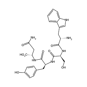 NC(=O)C[C@H](NC(=O)[C@H](Cc1ccc(O)cc1)NC(=O)[C@H](CO)NC(=O)[C@@H](N)Cc1c[nH]c2ccccc12)C(=O)O